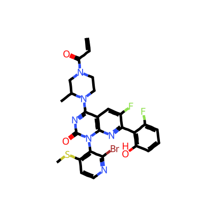 C=CC(=O)N1CCN(c2nc(=O)n(-c3c(SC)ccnc3Br)c3nc(-c4c(O)cccc4F)c(F)cc23)C(C)C1